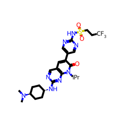 CC(C)n1c(=O)c(-c2cnc(NS(=O)(=O)CCC(F)(F)F)nc2)cc2cnc(N[C@H]3CC[C@H](N(C)C)CC3)nc21